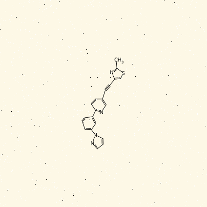 Cc1nc(C#Cc2ccc(-c3cccc(-n4cccn4)c3)nc2)cs1